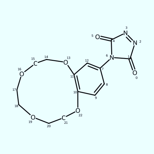 O=C1N=NC(=O)N1c1ccc2c(c1)OCCOCCOCCO2